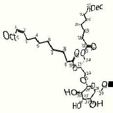 CCCCCCCC/C=C\CCCCCCCC(=O)O[C@H](COC(=O)CCCCCCCCCCCCCCC)CO[C@H]1O[C@H](CO)[C@@H](O)[C@H](O)[C@H]1O